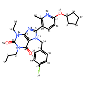 CCCn1c(=O)c2c(nc(-c3ccc(OC4CCCC4)nc3C)n2Cc2ccc(F)cc2)n(CC)c1=O